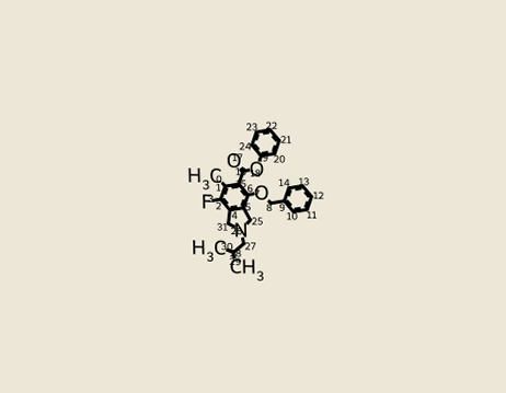 Cc1c(F)c2c(c(OCc3ccccc3)c1C(=O)Oc1ccccc1)CN(CC(C)C)C2